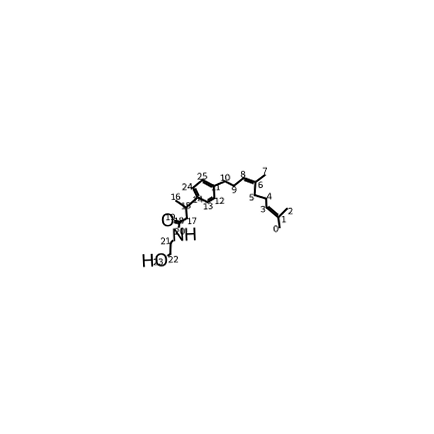 CC(C)=CCCC(C)=CCCc1ccc(C(C)CC(=O)NCCO)cc1